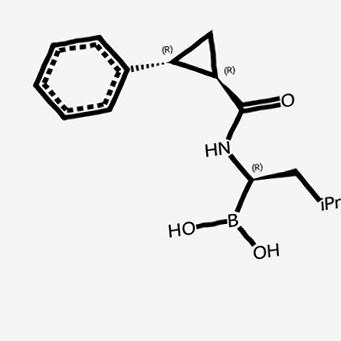 CC(C)C[C@H](NC(=O)[C@@H]1C[C@H]1c1ccccc1)B(O)O